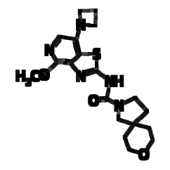 COc1ncc(N2CCC2)c2sc(NC(=O)N3CCC4(CCOCC4)C3)nc12